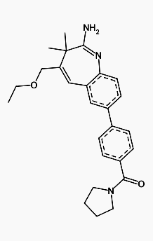 CCOCC1=Cc2cc(-c3ccc(C(=O)N4CCCC4)cc3)ccc2N=C(N)C1(C)C